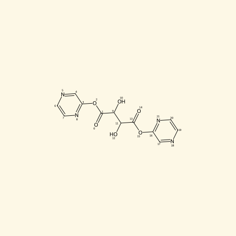 O=C(Oc1cnccn1)C(O)C(O)C(=O)Oc1cnccn1